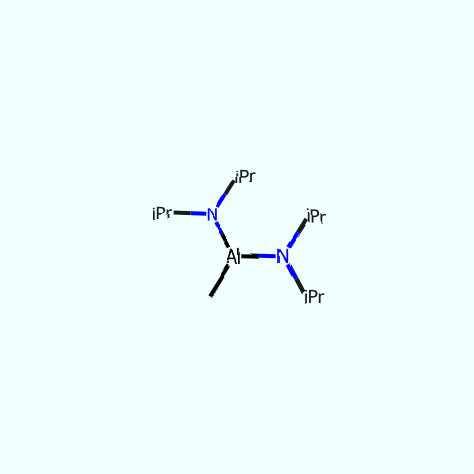 CC(C)[N](C(C)C)[Al]([CH3])[N](C(C)C)C(C)C